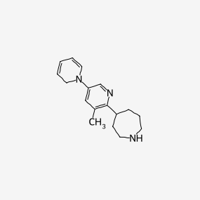 Cc1cc(N2C=CC=CC2)cnc1C1CCCNCC1